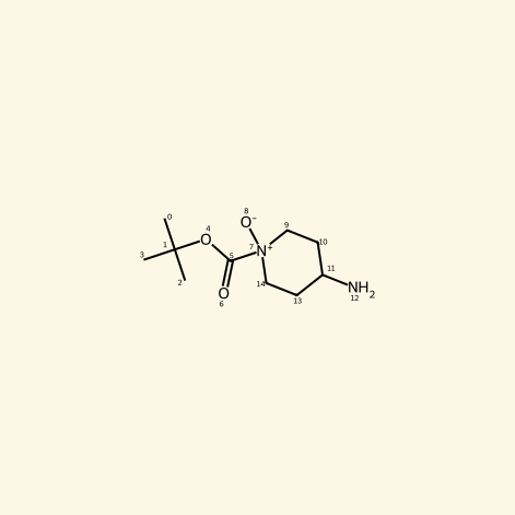 CC(C)(C)OC(=O)[N+]1([O-])CCC(N)CC1